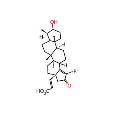 CC(C)C1=C2[C@H]3CC[C@@H]4[C@@]5(C)CC[C@H](O)[C@H](C)[C@@H]5CC[C@@]4(C)[C@]3(C)CC[C@@]2(/C=C/C(=O)O)CC1=O